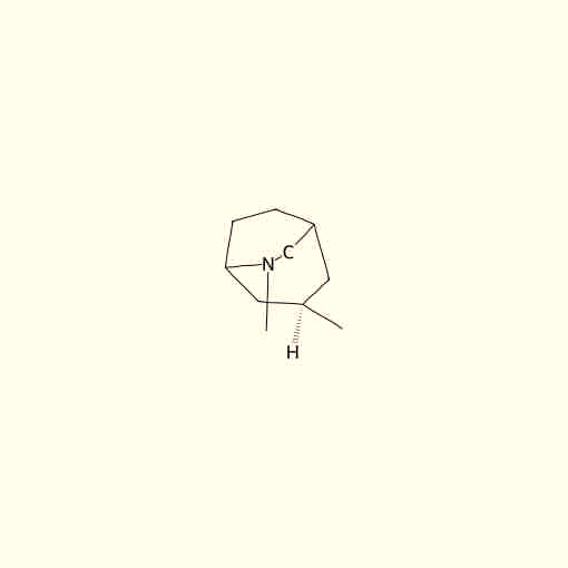 C[C@@H]1CC2CCC(C1)N(C)C2